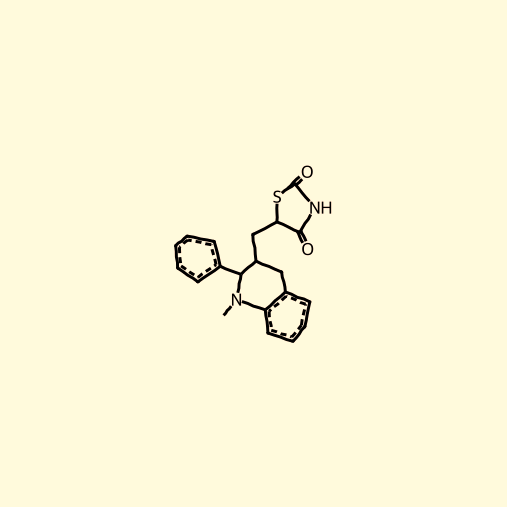 CN1c2ccccc2CC(CC2SC(=O)NC2=O)C1c1ccccc1